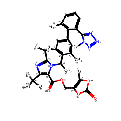 [2H]n1nnnc1-c1cccc(C)c1-c1cc(C)c(C(C)n2c(CC(C)C)nc(C(CC)(CC)OC)c2C(=O)OCc2oc(=O)oc2CC)c(C)c1